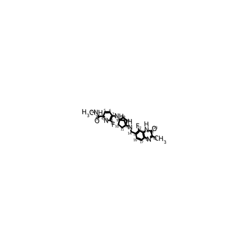 CNC(=O)c1ccc(NC23CCC(NCc4ccc5nc(C)c(=O)[nH]c5c4F)(CC2)C3)c(F)n1